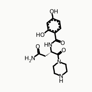 NC(=O)C[C@H](NC(=O)c1ccc(O)cc1O)C(=O)N1CCNCC1